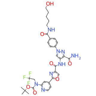 CC(C)(C)OC(=O)N(CC(F)(F)F)c1cc(-c2nc(C(=O)Nc3cn(-c4ccc(C(=O)NCCCCCO)cc4)nc3C(N)=O)co2)ccn1